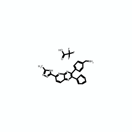 Cc1nnc(-c2ccc3nc(-c4ccccc4)c(-c4ccc(CN)cc4)nc3n2)[nH]1.O=C(O)C(F)(F)F